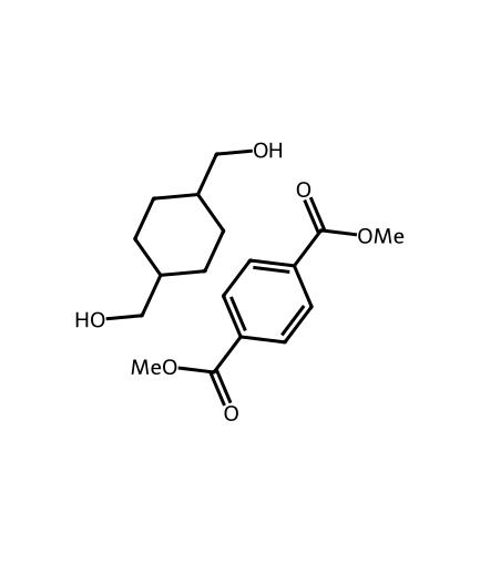 COC(=O)c1ccc(C(=O)OC)cc1.OCC1CCC(CO)CC1